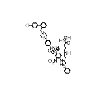 O=C(CCCNCC[C@H](CSc1ccccc1)Nc1ccc(S(=O)(=O)NC(=O)c2ccc(N3CCN(Cc4ccccc4-c4ccc(Cl)cc4)CC3)cc2)cc1[N+](=O)[O-])NO